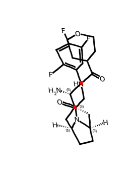 N[C@H](Cc1cc(F)c(F)cc1F)[C@@H]1C[C@H]2CC[C@@H](C1)N2C(=O)CNC(=O)C1CCOCC1